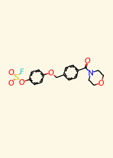 O=C(c1ccc(COc2ccc(OS(=O)(=O)F)cc2)cc1)N1CCOCC1